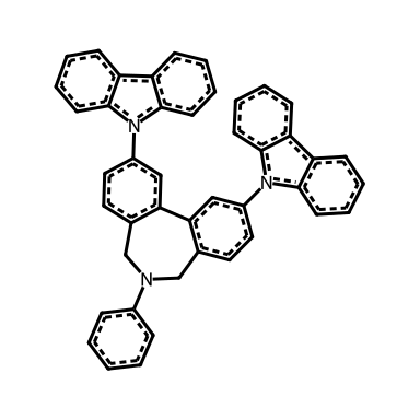 c1ccc(N2Cc3ccc(-n4c5ccccc5c5ccccc54)cc3-c3cc(-n4c5ccccc5c5ccccc54)ccc3C2)cc1